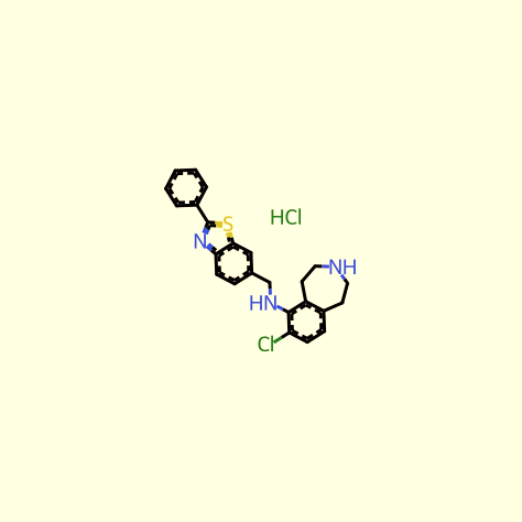 Cl.Clc1ccc2c(c1NCc1ccc3nc(-c4ccccc4)sc3c1)CCNCC2